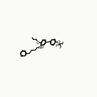 CCCOc1ccc(-c2ccc(OC(F)(F)F)cc2)cc1NCCCCc1ccccc1